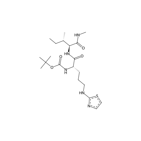 CC[C@H](C)[C@H](NC(=O)[C@H](CCCNc1nccs1)NC(=O)OC(C)(C)C)C(=O)NC